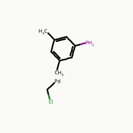 Cc1cc(C)cc(P)c1.Cl[CH2][Pd]